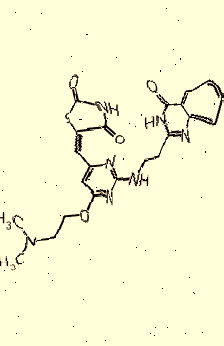 CN(C)CCOc1cc(C=C2SC(=O)NC2=O)nc(NCCc2nc3ccccc3c(=O)[nH]2)n1